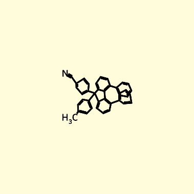 Cc1ccc(C2(c3ccc(C#N)cc3)c3cccc(-c4ccccc4)c3-c3c(-c4ccccc4)cccc32)cc1